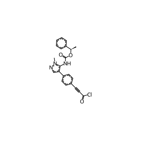 C[C@@H](OC(=O)Nc1c(-c2ccc(C#CC(=O)Cl)cc2)cnn1C)c1ccccc1